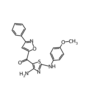 COc1ccc(Nc2nc(N)c(C(=O)c3cc(-c4ccccc4)no3)s2)cc1